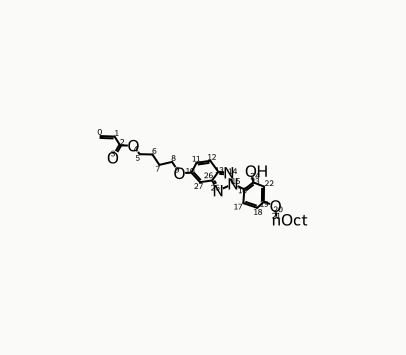 C=CC(=O)OCCCCOc1ccc2nn(-c3ccc(OCCCCCCCC)cc3O)nc2c1